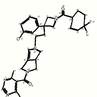 Cc1ncnc(C)c1C(=O)N1CC2=CN(CCC3(c4cccc(Cl)c4)CN(C(=O)C4CCC(F)(F)CC4)C3)CC2C1